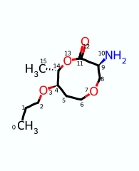 CCCO[C@@H]1CCOC[C@H](N)C(=O)O[C@H]1C